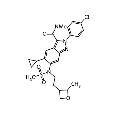 CNC(=O)c1c2cc(C3CC3)c(N(CCC3COC3C)S(C)(=O)=O)cc2nn1-c1ccc(Cl)cc1